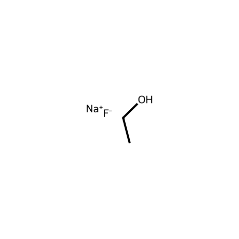 CCO.[F-].[Na+]